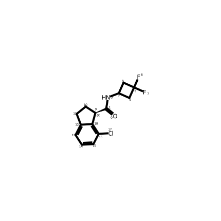 O=C(NC1CC(F)(F)C1)[C@@H]1CCc2cccc(Cl)c21